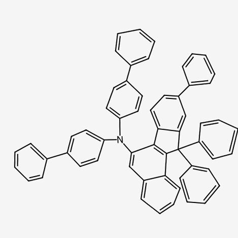 c1ccc(-c2ccc(N(c3ccc(-c4ccccc4)cc3)c3cc4ccccc4c4c3-c3ccc(-c5ccccc5)cc3C4(c3ccccc3)c3ccccc3)cc2)cc1